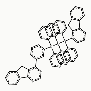 c1ccc([Si](c2ccccc2)(c2cccc(-c3ncnc4c3Cc3ccccc3-4)c2)[Si](c2ccccc2)(c2ccccc2)[Si](c2ccccc2)(c2ccccc2)c2cccc3c2Cc2ccccc2-3)cc1